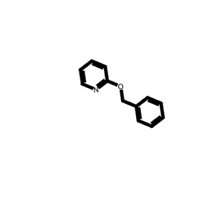 [c]1cccc(OCc2ccccc2)n1